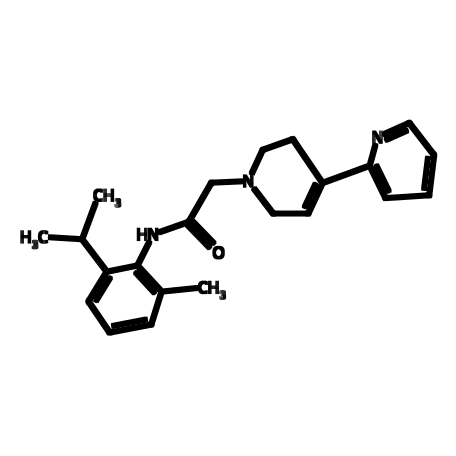 Cc1cccc(C(C)C)c1NC(=O)CN1CC=C(c2ccccn2)CC1